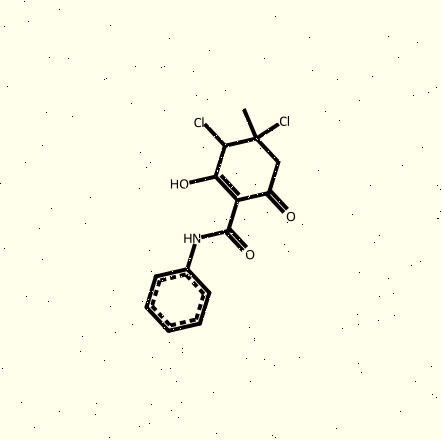 CC1(Cl)CC(=O)C(C(=O)Nc2ccccc2)=C(O)C1Cl